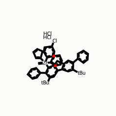 Cl.Cl.[CH2]=[Zr]([C]1=CC=CC1)([c]1ccccc1)([c]1ccc(Cl)cc1)[c]1c2c(cc(C(C)(C)C)c1-c1ccccc1)-c1cc(C(C)(C)C)c(-c3ccccc3)cc1C2